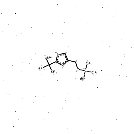 COC(C)(C)c1nc(CO[Si](C)(C)C(C)(C)C)cs1